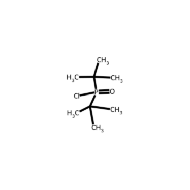 CC(C)(C)P(=O)(Cl)C(C)(C)C